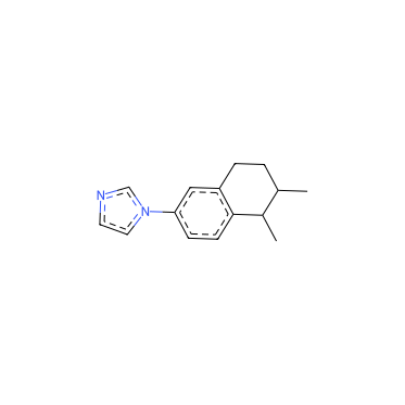 CC1CCc2cc(-n3ccnc3)ccc2C1C